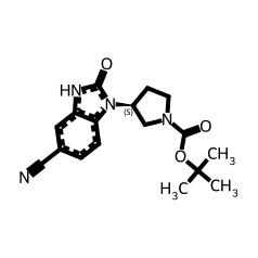 CC(C)(C)OC(=O)N1CC[C@H](n2c(=O)[nH]c3cc(C#N)ccc32)C1